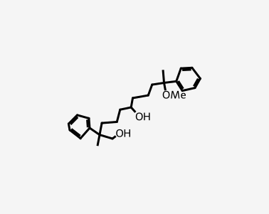 COC(C)(CCCC(O)CCCC(C)(CO)c1ccccc1)c1ccccc1